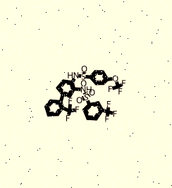 O=S(=O)(Nc1ccc(-c2ccccc2C(F)(F)F)cc1NS(=O)(=O)c1cccc(C(F)(F)F)c1)c1ccc(OC(F)(F)F)cc1